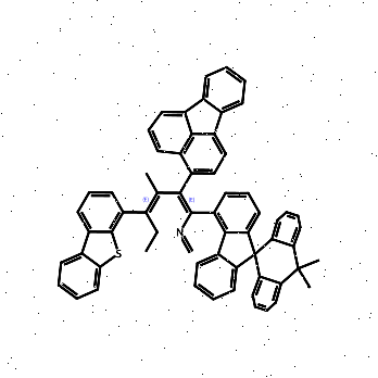 C=N/C(=C(\C(C)=C(/CC)c1cccc2c1sc1ccccc12)c1ccc2c3c(cccc13)-c1ccccc1-2)c1cccc2c1-c1ccccc1C21c2ccccc2C(C)(C)c2ccccc21